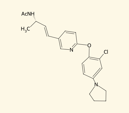 CC(=O)N[C@@H](C)/C=C/c1ccc(Oc2ccc(N3CCCC3)cc2Cl)nc1